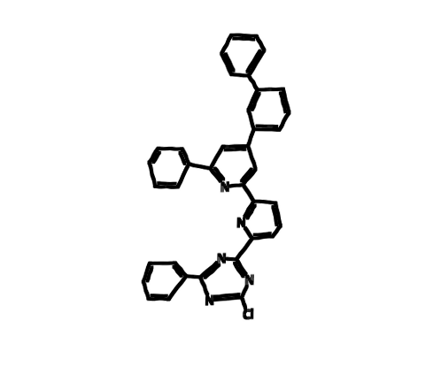 Clc1nc(-c2ccccc2)nc(-c2cccc(-c3cc(-c4cccc(-c5ccccc5)c4)cc(-c4ccccc4)n3)n2)n1